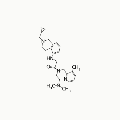 Cc1cccnc1CN(CCN(C)C)C(=O)CNc1cccc2c1CCN(CC1CC1)C2